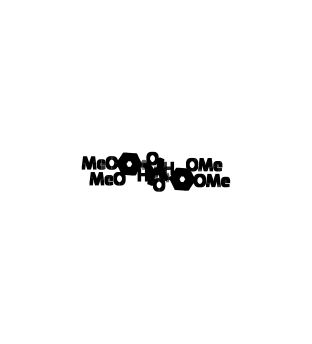 COc1ccc([C@@H]2OC[C@@H]3[C@H]2CO[C@H]3c2ccc(OC)c(OC)c2)cc1OC